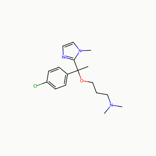 CN(C)CCCOC(C)(c1ccc(Cl)cc1)c1nccn1C